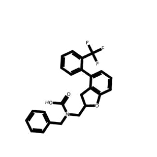 O=C(O)N(Cc1ccccc1)CC1Cc2c(cccc2-c2ccccc2C(F)(F)F)O1